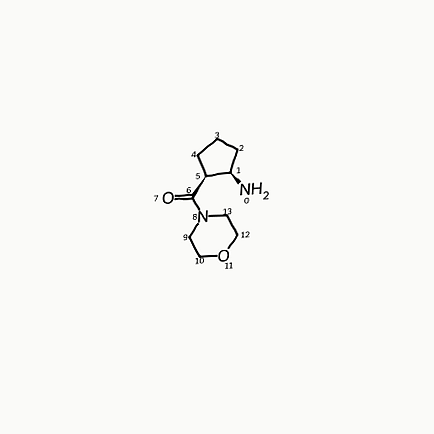 N[C@@H]1CCC[C@@H]1C(=O)N1CCOCC1